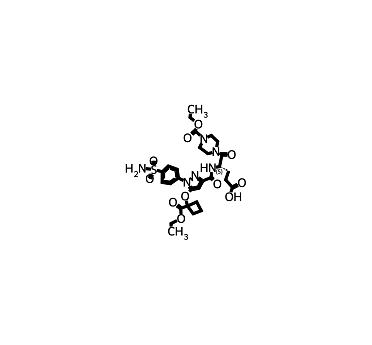 CCOC(=O)N1CCN(C(=O)[C@H](CCC(=O)O)NC(=O)c2cc(OC3(C(=O)OCC)CCC3)n(-c3ccc(S(N)(=O)=O)cc3)n2)CC1